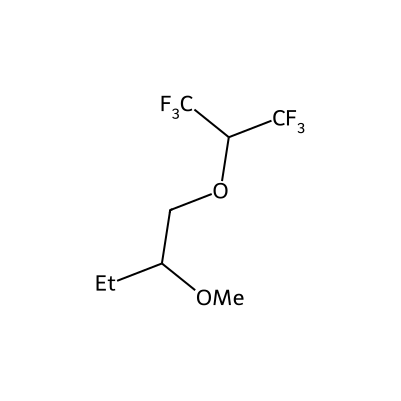 CCC(COC(C(F)(F)F)C(F)(F)F)OC